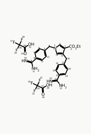 CCOC(=O)c1cn(Cc2ccc(C(=N)N)cc2)cc1Cc1ccc(C(=N)N)cc1.O=C(O)C(F)(F)F.O=C(O)C(F)(F)F